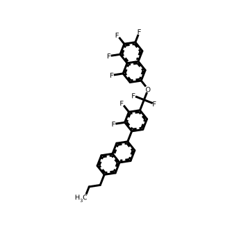 CCCc1ccc2cc(-c3ccc(C(F)(F)Oc4cc(F)c5c(F)c(F)c(F)cc5c4)c(F)c3F)ccc2c1